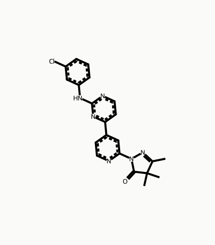 CC1=NN(c2cc(-c3ccnc(Nc4cccc(Cl)c4)n3)ccn2)C(=O)C1(C)C